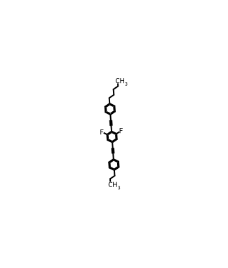 CCCCCc1ccc(C#Cc2c(F)cc(C#Cc3ccc(CCC)cc3)cc2F)cc1